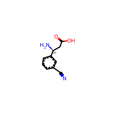 N#Cc1cccc([C@@H](N)CC(=O)O)c1